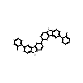 Cc1ccccc1-c1ccc2oc3ccc(-c4ccc5oc6ccc(-c7ccccc7C)cc6c5c4)cc3c2c1